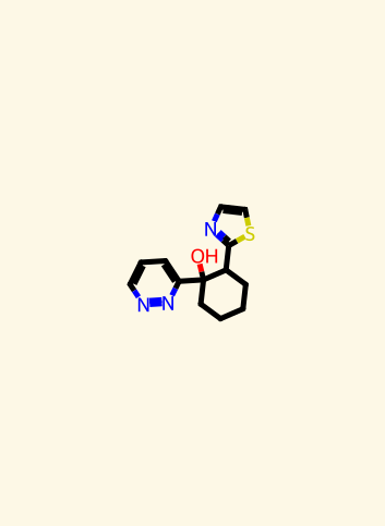 OC1(c2cccnn2)CCCCC1c1nccs1